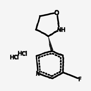 Cl.Cl.Fc1cncc([C@@H]2CCON2)c1